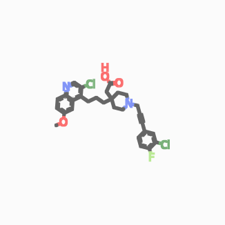 COc1ccc2ncc(Cl)c(CCCC3(CC(=O)O)CCN(CC#Cc4ccc(F)c(Cl)c4)CC3)c2c1